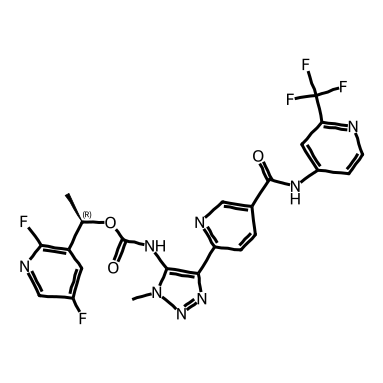 C[C@@H](OC(=O)Nc1c(-c2ccc(C(=O)Nc3ccnc(C(F)(F)F)c3)cn2)nnn1C)c1cc(F)cnc1F